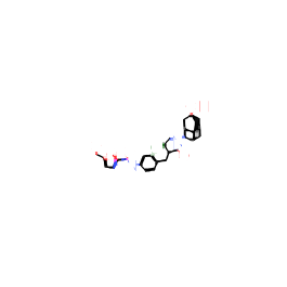 O=C(Nc1ccc(CC2CCN(C3C4CC5CC3CC(O)(C5)C4)C2=O)c(Cl)c1)c1ccc(CO)o1